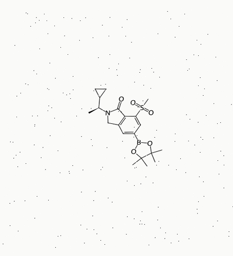 C[C@@H](C1CC1)N1Cc2cc(B3OC(C)(C)C(C)(C)O3)cc(S(C)(=O)=O)c2C1=O